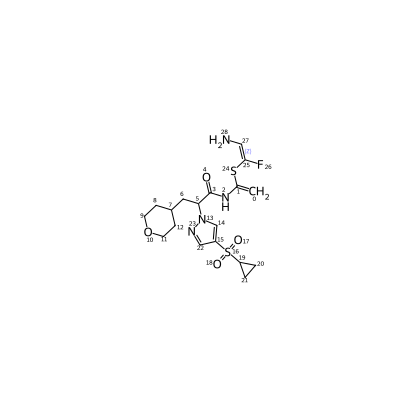 C=C(NC(=O)C(CC1CCOCC1)n1cc(S(=O)(=O)C2CC2)cn1)S/C(F)=C\N